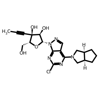 CC#C[C@@]1(O)[C@@H](CO)O[C@@H](n2ncc3c(N4C[C@H]5CCC[C@H]5C4)nc(Cl)nc32)[C@@H]1O